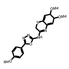 COc1ccc(-c2nnc(NC3=NC4=CC(OC)C(OC)C=C4SC3)o2)cc1